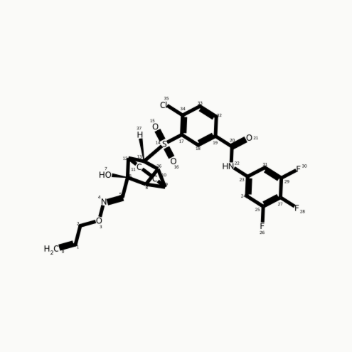 C=CCO/N=C/[C@@]1(O)C2C3CCC1[C@H](S(=O)(=O)c1cc(C(=O)Nc4cc(F)c(F)c(F)c4)ccc1Cl)C32